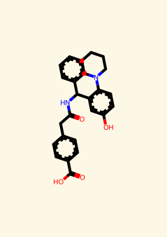 O=C(Cc1ccc(C(=O)O)cc1)NC(c1ccccc1)c1cc(O)ccc1N1CCCCC1